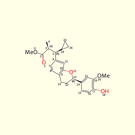 COC(=O)[C@@H](C)[C@H](c1ccc2c(c1)O[C@@H](c1ccc(O)c(OC)c1)CC2)C1CC1